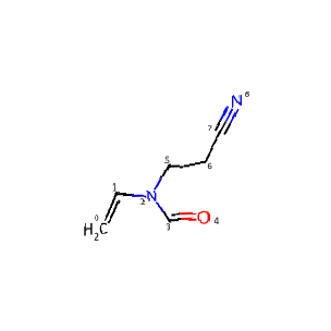 C=CN(C=O)CCC#N